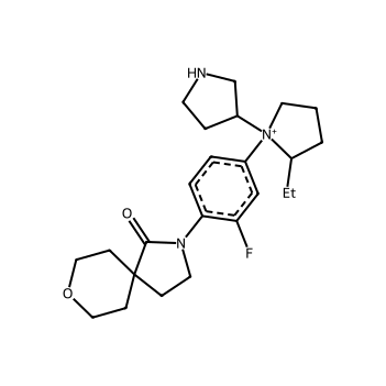 CCC1CCC[N+]1(c1ccc(N2CCC3(CCOCC3)C2=O)c(F)c1)C1CCNC1